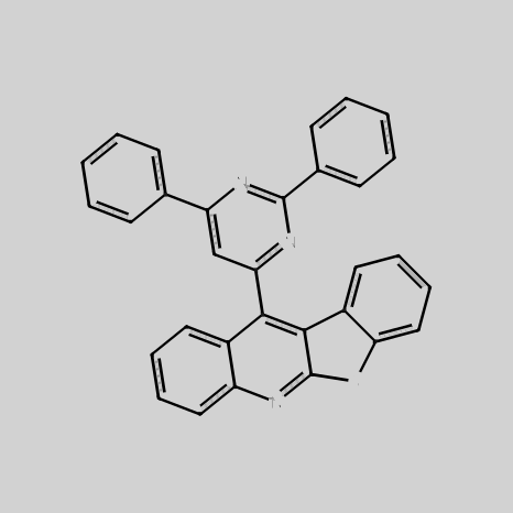 c1ccc(-c2cc(-c3c4ccccc4nc4sc5ccccc5c34)nc(-c3ccccc3)n2)cc1